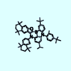 Cc1cc(C(C)(C)C)ccc1N1c2ccc(C(C)(C)C)cc2B2c3oc4cc5c(cc4c3N(c3ccc4c(c3)C(C)(C)CCC4(C)C)c3cc(C(C)C)cc1c32)C(C)(C)CCC5(C)C